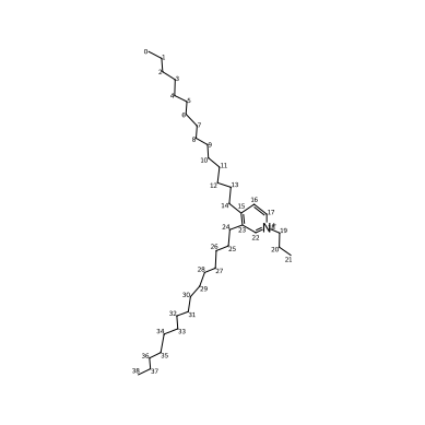 CCCCCCCCCCCCCCCc1cc[n+](CCC)cc1CCCCCCCCCCCCCCC